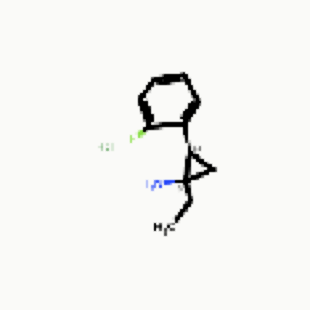 CC[C@@]1(N)C[C@@H]1c1ccccc1F.Cl